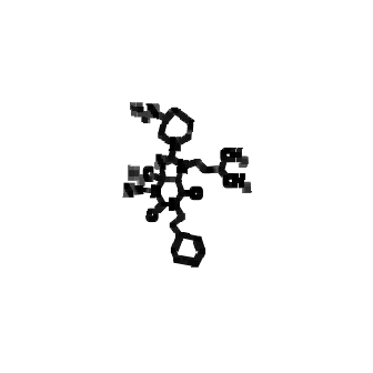 CC(C)=CCN1C(N2CCCC(N)C2)=NC2(C)C1C(=O)N(CCc1ccccc1)C(=O)N2C#N